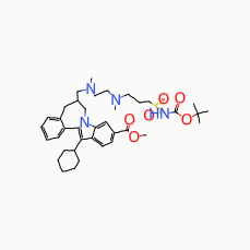 COC(=O)c1ccc2c(C3CCCCC3)c3n(c2c1)CC(CN(C)CCN(C)CCCS(=O)(=O)NC(=O)OC(C)(C)C)Cc1ccccc1-3